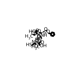 CC(C)C[C@H](NC(=O)[C@H](CSC(=O)OCc1ccccc1)NC(=O)CNC(=O)[C@@H](NC(=O)[C@@H](N)CS)[C@@H](C)O)C(=O)O